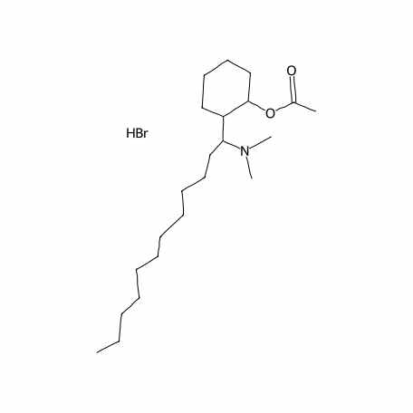 Br.CCCCCCCCCCCC(C1CCCCC1OC(C)=O)N(C)C